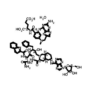 CC(C)(C)NC(=O)[C@@H]1C[C@@H]2CCCC[C@@H]2CN1C[C@@H](O)[C@H](Cc1ccccc1)NC(=O)[C@H](CC(N)=O)NC(=O)c1ccc2ccccc2n1.CN(Cc1cnc2nc(N)nc(N)c2n1)c1ccc(C(=O)N[C@@H](CCC(=O)O)C(=O)O)cc1.Nc1ncnc2c1ncn2[C@@H]1O[C@H](CO)[C@@H](O)[C@@H]1O.O